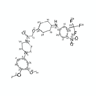 COc1ccc(N2CCN(C(=O)COC3CCC(Nc4ccc([N+](=O)[O-])c(C(F)(F)F)c4)CC3)CC2)cc1OC